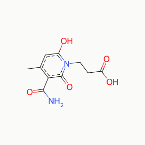 Cc1cc(O)n(CCC(=O)O)c(=O)c1C(N)=O